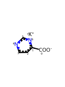 O=C([O-])c1ccncn1.[K+]